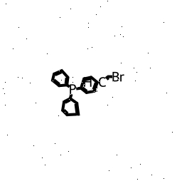 C=CBr.c1ccc(P(c2ccccc2)c2ccccc2)cc1